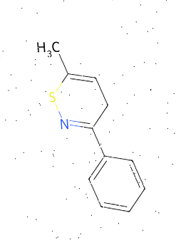 CC1=CCC(c2ccccc2)=NS1